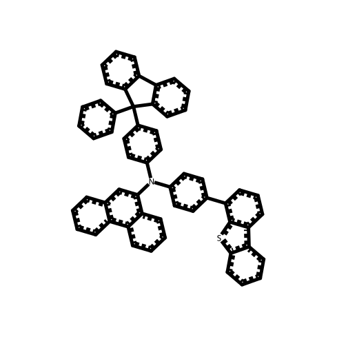 c1ccc(C2(c3ccc(N(c4ccc(-c5cccc6c5sc5ccccc56)cc4)c4cc5ccccc5c5ccccc45)cc3)c3ccccc3-c3ccccc32)cc1